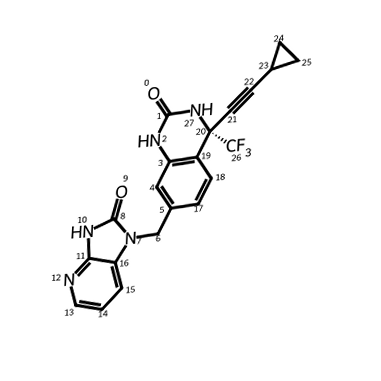 O=C1Nc2cc(Cn3c(=O)[nH]c4ncccc43)ccc2[C@@](C#CC2CC2)(C(F)(F)F)N1